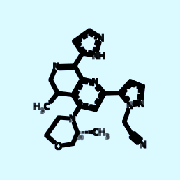 CC1CN=C(c2ccn[nH]2)c2nc(-c3ccnn3CC#N)cc(N3CCOC[C@H]3C)c21